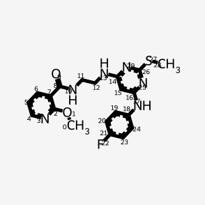 COc1ncccc1C(=O)NCCNc1cc(Nc2ccc(F)cc2)nc(SC)n1